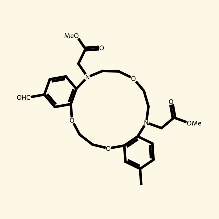 COC(=O)CN1CCOCCN(CC(=O)OC)c2ccc(C=O)cc2OCCOc2cc(C)ccc21